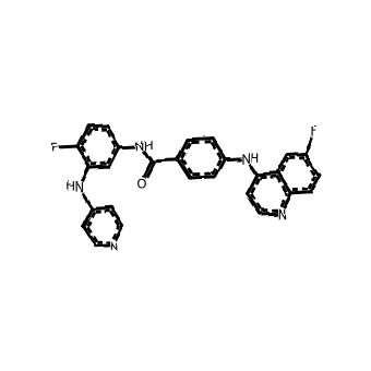 O=C(Nc1ccc(F)c(Nc2ccncc2)c1)c1ccc(Nc2ccnc3ccc(F)cc23)cc1